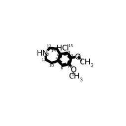 COc1cc2c(cc1OC)CCNCC2.Cl